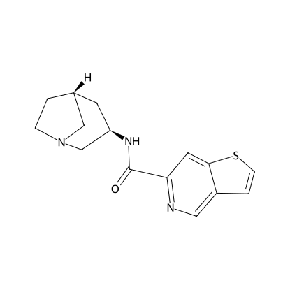 O=C(N[C@@H]1C[C@H]2CCN(C2)C1)c1cc2sccc2cn1